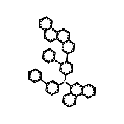 c1ccc(-c2cccc(N(c3ccc(-c4ccc5ccc6c7ccccc7ccc6c5c4)c(-c4ccccc4)c3)c3cc4ccccc4c4ccccc34)c2)cc1